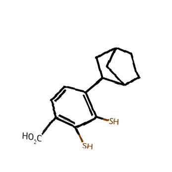 O=C(O)c1ccc(C2CC3CCC2C3)c(S)c1S